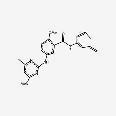 C=C/C=C(\C=C/C)NC(=O)c1cc(Nc2nc(C)cc(NC)n2)ccc1OC